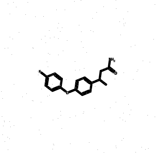 CC(CC(N)=O)c1ccc(Oc2ccc(F)cc2)cc1